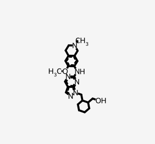 COc1cc2c(cc1Nc1ncc3cnn(CC4CCCCC4CO)c3n1)CN(C)CC2